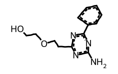 Nc1nc(CCOCCO)nc(-c2ccccc2)n1